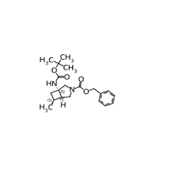 C[C@H]1C[C@@]2(NC(=O)OC(C)(C)C)CN(C(=O)OCc3ccccc3)C[C@@H]12